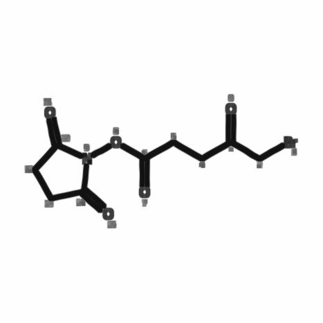 O=C(CBr)CCC(=O)ON1C(=O)CCC1=O